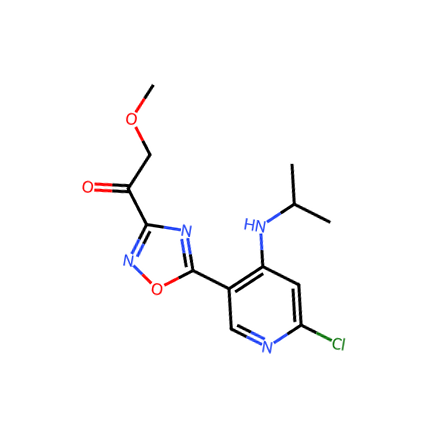 COCC(=O)c1noc(-c2cnc(Cl)cc2NC(C)C)n1